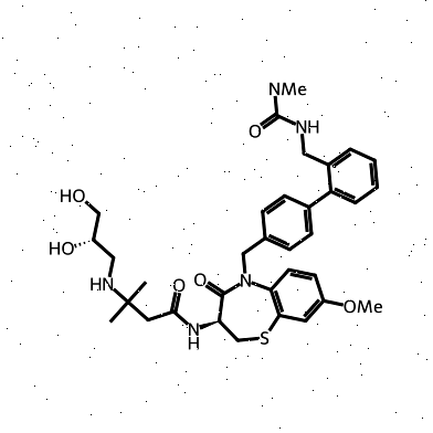 CNC(=O)NCc1ccccc1-c1ccc(CN2C(=O)[C@H](NC(=O)CC(C)(C)NC[C@H](O)CO)CSc3cc(OC)ccc32)cc1